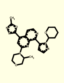 Cc1nnc(-c2cc(N3CCOCC3C)nc3c(-c4ccnn4C4CCCCO4)nccc23)o1